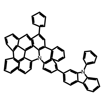 c1ccc(-c2ccc(N(c3ccc(-c4ccc5c6ccccc6n(-c6ccccc6)c5c4)cc3)c3ccccc3-c3cccc4cccc(-c5ccccc5)c34)c(-c3ccccc3)c2)cc1